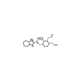 C=CCc1ccc(CSc2nc3ccccc3s2)c(O)c1CC=C